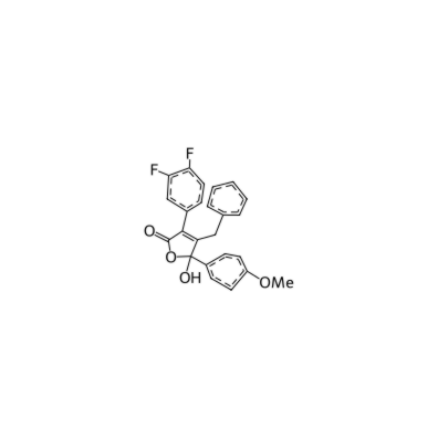 COc1ccc(C2(O)OC(=O)C(c3ccc(F)c(F)c3)=C2Cc2ccccc2)cc1